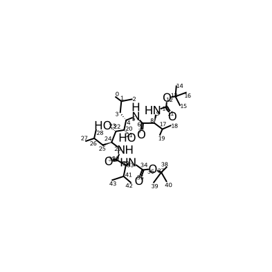 CC(C)C[C@H](NC(=O)[C@@H](NC(=O)OC(C)(C)C)C(C)C)[C@H](O)[C@@H](O)[C@H](CC(C)C)NC(=O)[C@@H](NC(=O)OC(C)(C)C)C(C)C